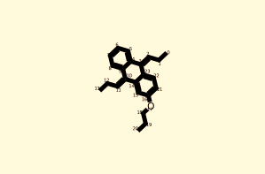 CCC=c1c2ccccc2c(=CCC)c2cc(OCCC)ccc12